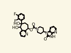 O=C(OC1CCC(O)(c2cccc(F)c2F)C(O)c2cccnc21)N1CCC(n2c(=O)[nH]c3ncccc32)CC1